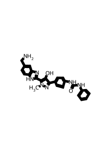 Cn1nc(-c2ccc(NC(=O)Nc3ccccc3)cc2)c(O)c1-c1nc2cc(CN)ccc2[nH]1